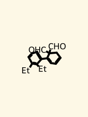 CCc1cccc(C2=CC=CCC2(C=O)C=O)c1CC